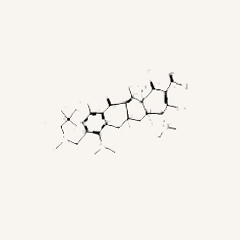 C[C@@H](N(C)Cc1cc(O)c2c(c1N(C)C)C[C@H]1C[C@H]3[C@H](N(C)C)C(O)=C(C(N)=O)C(=O)[C@@]3(O)C(O)=C1C2=O)C(C)(C)C